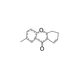 Cc1ccc2oc3c(c(=O)c2c1)C=CCC3